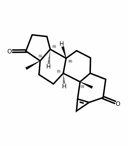 C[C@]12C3=C(C3)C(=O)CC1CC[C@@H]1[C@@H]2CC[C@]2(C)C(=O)CC[C@@H]12